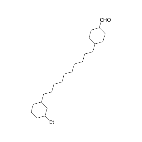 CCC1CCCC(CCCCCCCCCCC2CCC(C=O)CC2)C1